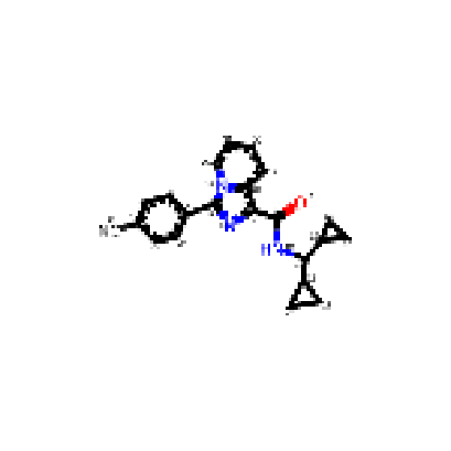 N#Cc1ccc(-c2nc(C(=O)NC(C3CC3)C3CC3)c3ccccn23)cc1